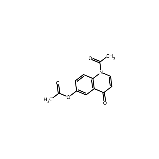 CC(=O)Oc1ccc2c(c1)c(=O)ccn2C(C)=O